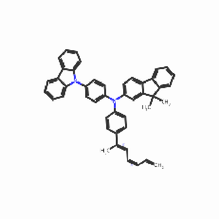 C=C/C=C\C=C(/C)c1ccc(N(c2ccc(-n3c4ccccc4c4ccccc43)cc2)c2ccc3c(c2)C(C)(C)c2ccccc2-3)cc1